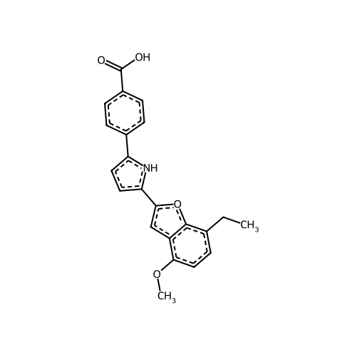 CCc1ccc(OC)c2cc(-c3ccc(-c4ccc(C(=O)O)cc4)[nH]3)oc12